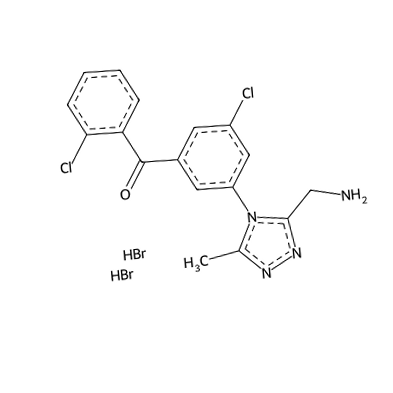 Br.Br.Cc1nnc(CN)n1-c1cc(Cl)cc(C(=O)c2ccccc2Cl)c1